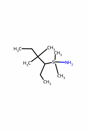 CCC(C(C)(C)CC)[Si](C)(C)N